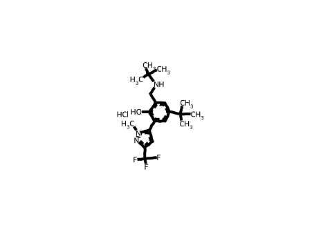 Cl.Cn1nc(C(F)(F)F)cc1-c1cc(C(C)(C)C)cc(CNC(C)(C)C)c1O